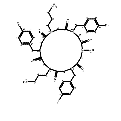 CCCCN1CC(=O)N(Cc2ccc(F)cc2)CC(=O)N(CCCN)CC(=O)N(Cc2ccc(F)cc2)CC(=O)N(CCCN)CC(=O)N(Cc2ccc(F)cc2)CC1=O